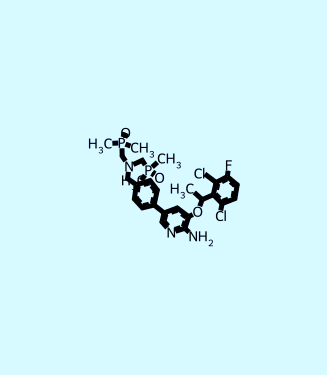 CC(Oc1cc(-c2ccc(CN(CP(C)(C)=O)CP(C)(C)=O)cc2)cnc1N)c1c(Cl)ccc(F)c1Cl